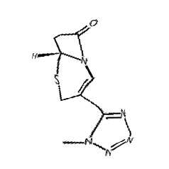 Cn1nnnc1C1=CN2C(=O)C[C@H]2SC1